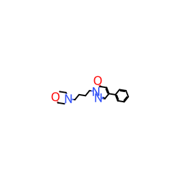 O=c1cc(-c2ccccc2)cnn1CCCCN1CCOCC1